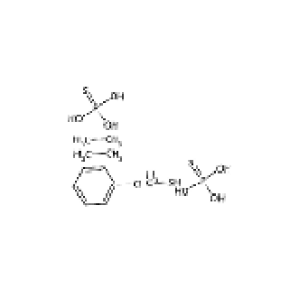 CC.CC.CS.Clc1ccccc1.OP(O)(O)=S.OP(O)(O)=S